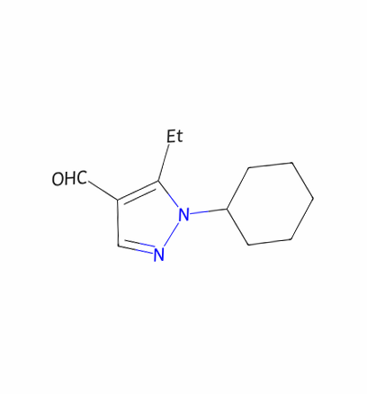 CCc1c(C=O)cnn1C1CCCCC1